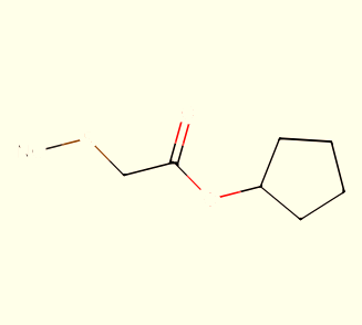 N#CSCC(=O)OC1CCCC1